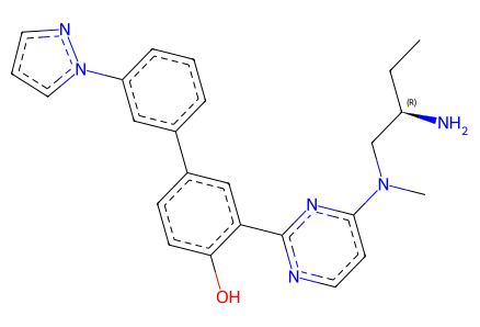 CC[C@@H](N)CN(C)c1ccnc(-c2cc(-c3cccc(-n4cccn4)c3)ccc2O)n1